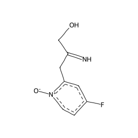 N=C(CO)Cc1cc(F)cc[n+]1[O-]